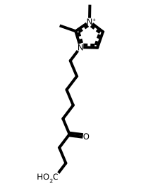 Cc1n(CCCCCC(=O)CCC(=O)O)cc[n+]1C